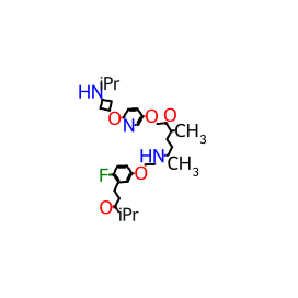 CC(CCC(C)C(=O)COc1ccc(O[C@H]2C[C@H](NC(C)C)C2)nc1)NCCOc1ccc(F)c(CCC(=O)C(C)C)c1